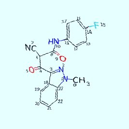 Cn1nc(C(=O)C(C#N)C(=O)Nc2ccc(F)cc2)c2ccccc21